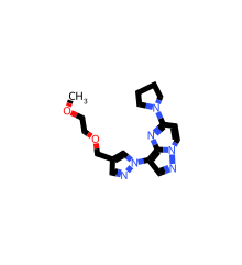 COCCOCc1cnn(-c2cnn3ccc(N4CCCC4)nc23)c1